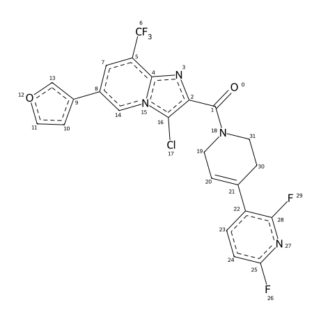 O=C(c1nc2c(C(F)(F)F)cc(-c3ccoc3)cn2c1Cl)N1CC=C(c2ccc(F)nc2F)CC1